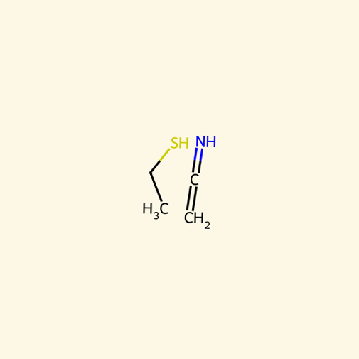 C=C=N.CCS